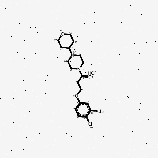 Cl.O=C(CCOc1ccc(Cl)c(Cl)c1)N1CCN(C2CCOCC2)CC1